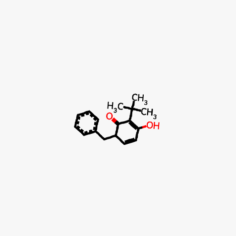 CC(C)(C)C1=C(O)C=CC(Cc2ccccc2)C1=O